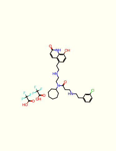 O=C(CCNCCc1cccc(Cl)c1)N(CCNCCc1ccc(O)c2[nH]c(=O)ccc12)C1CCCCCC1.O=C(O)C(F)(F)F.O=C(O)C(F)(F)F